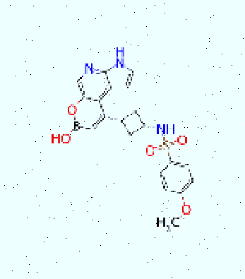 COc1ccc(S(=O)(=O)N[C@H]2C[C@@H](C3=CB(O)Oc4cnc5[nH]ccc5c43)C2)cc1